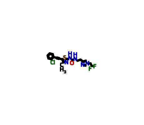 Cc1nc(NC(=O)NCCc2cn(CC(F)F)cn2)sc1C#Cc1ccccc1Cl